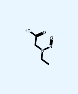 CCN(CC(=O)O)N=O